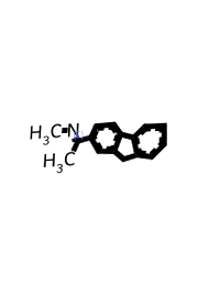 C/N=C(\C)c1ccc2c(c1)Cc1ccccc1-2